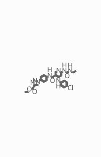 CCNC(=O)Nc1cc(Nc2ccc(Cl)cc2)c(C(=O)Nc2ccc(-n3cc(C(=O)OCC)nn3)cc2)cn1